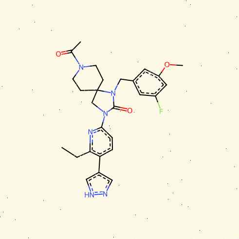 CCc1nc(N2CC3(CCN(C(C)=O)CC3)N(Cc3cc(F)cc(OC)c3)C2=O)ccc1-c1cn[nH]c1